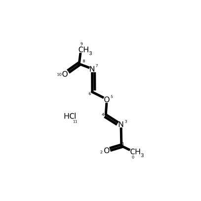 CC(=O)N=COC=NC(C)=O.Cl